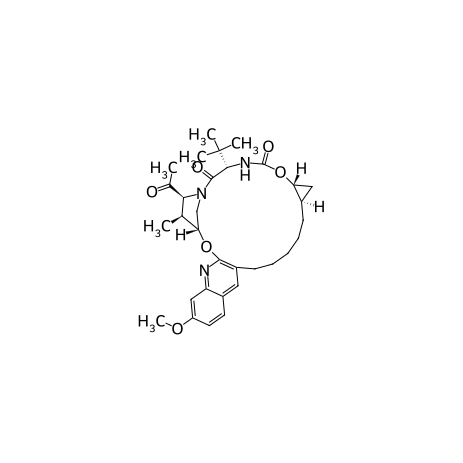 COc1ccc2cc3c(nc2c1)O[C@H]1CN(C(=O)[C@H](C(C)(C)C)NC(=O)O[C@@H]2C[C@H]2CCCCC3)[C@H](C(C)=O)[C@@H]1C